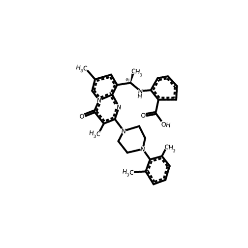 Cc1cc([C@@H](C)Nc2ccccc2C(=O)O)c2nc(N3CCN(c4c(C)cccc4C)CC3)c(C)c(=O)n2c1